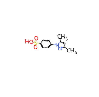 Cc1cc(C)n(-c2ccc(S(=O)(=O)O)cc2)n1